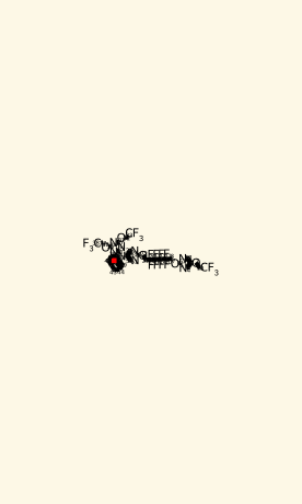 FC(F)(F)COc1cnc(OCC(F)(F)C(F)(F)C(F)(F)C(F)(F)COc2ncc(N(c3nc(OCC(F)(F)F)nc(OCC(F)(F)F)n3)C34CC5CC(CC(C5)C3)C4)cn2)nc1